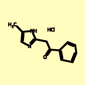 Cc1cnc(CC(=O)c2ccccc2)[nH]1.Cl